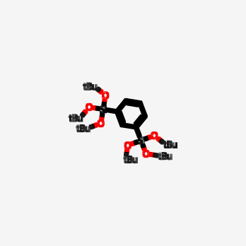 CC(C)(C)O[Si](OC(C)(C)C)(OC(C)(C)C)c1cccc([Si](OC(C)(C)C)(OC(C)(C)C)OC(C)(C)C)c1